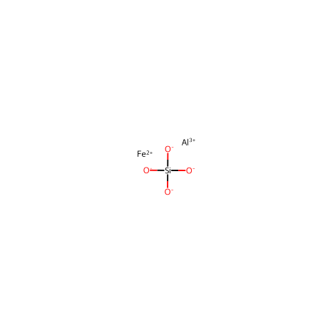 [Al+3].[Fe+2].[O-][Si]([O-])([O-])[O-]